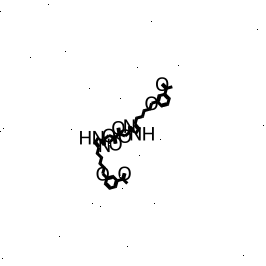 CC(=O)c1cccc(OCCCCc2c[nH]c(OC(=O)C(=O)Oc3nc(CCCCOc4cccc(C(C)=O)c4)c[nH]3)n2)c1